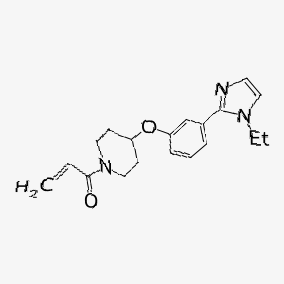 C=CC(=O)N1CCC(Oc2cccc(-c3nccn3CC)c2)CC1